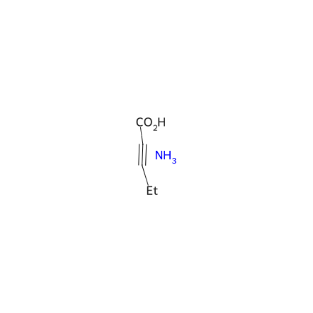 CCC#CC(=O)O.N